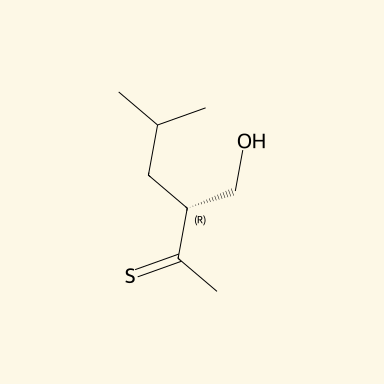 CC(=S)[C@@H](CO)CC(C)C